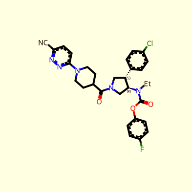 CCN(C(=O)Oc1ccc(F)cc1)[C@H]1CN(C(=O)C2CCN(c3ccc(C#N)nn3)CC2)C[C@@H]1c1ccc(Cl)cc1